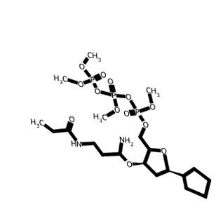 CCC(=O)NCCC(N)O[C@@H]1C[C@H](C2CCCC2)OC1COP(=O)(OC)OP(=O)(OC)OP(=O)(OC)OC